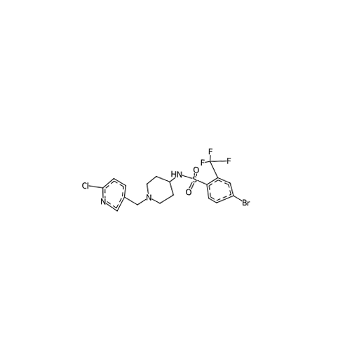 O=S(=O)(NC1CCN(Cc2ccc(Cl)nc2)CC1)c1ccc(Br)cc1C(F)(F)F